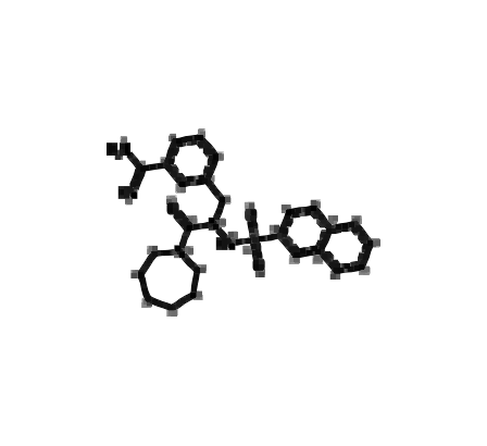 N=C(N)c1cccc(CN(NS(=O)(=O)c2ccc3ccccc3c2)C(=O)N2CCCCCC2)c1